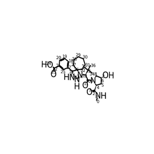 CNC(=O)[C@@H]1C[C@@H](O)CN1C(=O)[C@@H](N1NNC(c2cccc(C(=O)O)c2)C12CCCCCC2)C(C)(C)C